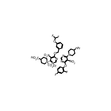 CCCC1CCN(c2ncnc(Oc3ccc(F)cc3F)c2[N+](=O)[O-])CC1.CCOC(=O)[N+]1(c2ncnc(OCc3cccc(OC(F)F)c3)c2[N+](=O)[O-])CCC(C(=O)O)CC1